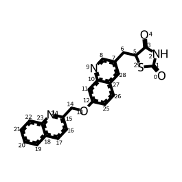 O=C1NC(=O)C(Cc2cnc3cc(OCc4ccc5ccccc5n4)ccc3c2)S1